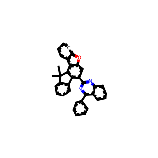 CC1(C)c2ccccc2-c2c(-c3nc(-c4ccccc4)c4ccccc4n3)cc3oc4ccccc4c3c21